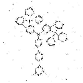 Cc1cc(C)cc(-c2ccc(-c3ccc(N(c4ccc5c(c4)C(c4ccccc4)(c4ccccc4)c4ccccc4-5)c4ccc5c(c4)C(c4ccccc4)(c4ccccc4)c4ccccc4-5)cc3)cc2)c1